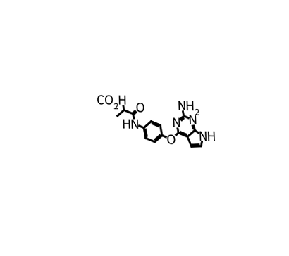 CC(C(=O)O)C(=O)Nc1ccc(Oc2nc(N)nc3[nH]ccc23)cc1